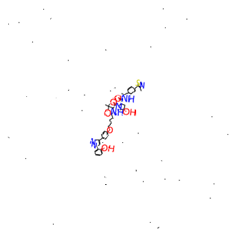 Cc1ncsc1-c1ccc([C@H](C)NC(=O)[C@@H]2C[C@@H](O)CN2C(=O)[C@@H](NC(=O)CCCCOc2ccc(-c3cnnc(-c4ccccc4O)c3)cc2)C(C)(C)C)cc1